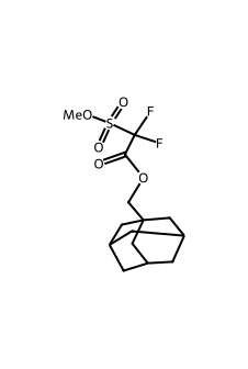 COS(=O)(=O)C(F)(F)C(=O)OCC12CC3CC(CC(C3)C1)C2